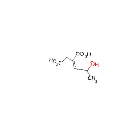 CC(O)C=C(CC(=O)O)C(=O)O